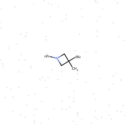 CCCN1CC(C)(C(C)(C)C)C1